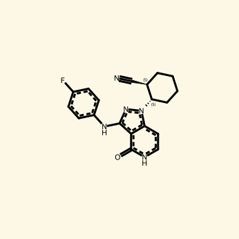 N#C[C@H]1CCCC[C@@H]1n1nc(Nc2ccc(F)cc2)c2c(=O)[nH]ccc21